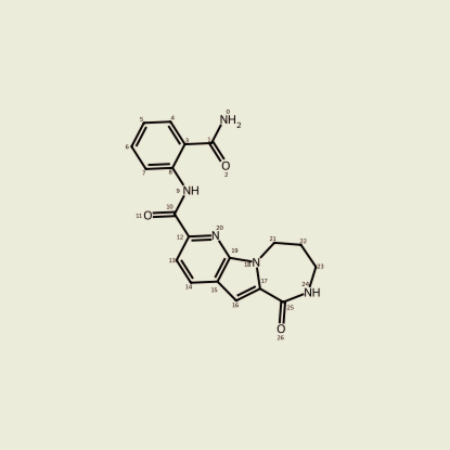 NC(=O)c1ccccc1NC(=O)c1ccc2cc3n(c2n1)CCCNC3=O